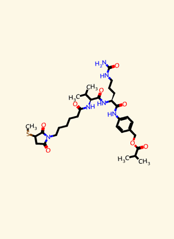 CSC1CC(=O)N(CCCCCC(=O)N[C@H](C(=O)N[C@@H](CCCNC(N)=O)C(=O)Nc2ccc(COC(=O)C(C)C)cc2)C(C)C)C1=O